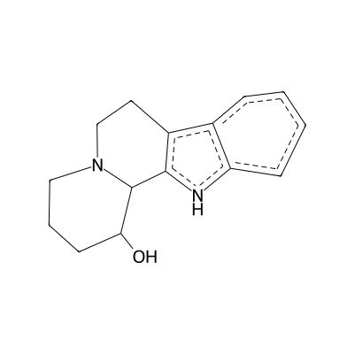 OC1CCCN2CCc3c([nH]c4ccccc34)C12